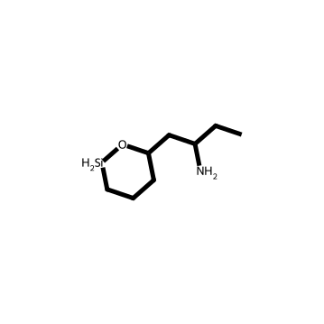 CCC(N)CC1CCC[SiH2]O1